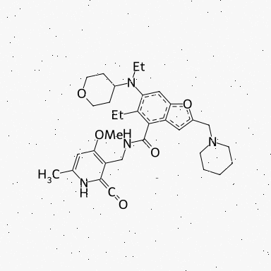 CCc1c(N(CC)C2CCOCC2)cc2oc(CN3CCCCC3)cc2c1C(=O)NCC1=C(OC)C=C(C)NC1=C=O